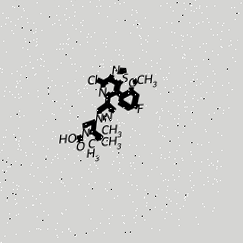 COc1cc(F)ccc1-c1c(-c2cnn(C3CN(C(=O)O)C3C(C)(C)C)c2)nc(Cl)c2ncsc12